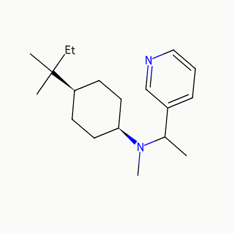 CCC(C)(C)[C@H]1CC[C@@H](N(C)C(C)c2cccnc2)CC1